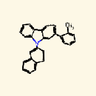 Cc1ccccc1-c1ccc2c3ccccc3n(-c3ccc4ccccc4c3)c2c1